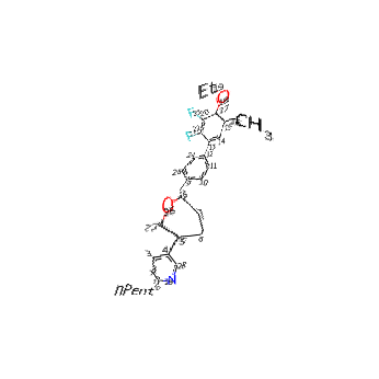 CCCCCc1ccc(C2CCC(c3ccc(C4=CC(C)C(OCC)C(F)=C4F)cc3)OC2)cn1